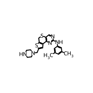 Cc1cc(C)cc(Nc2ncc3c(n2)-c2cc(CN4CCNCC4)sc2CS3)c1